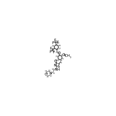 COc1cc(C=C2SC(NCCN3CCOCC3)=NC2=O)ccc1OCc1ccc(C(F)(F)F)cc1C(F)(F)F